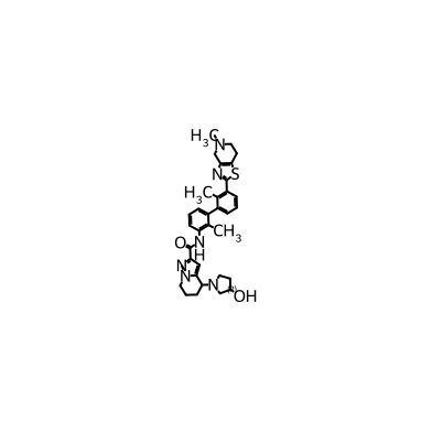 Cc1c(NC(=O)c2cc3n(n2)CCCC3N2CC[C@@H](O)C2)cccc1-c1cccc(-c2nc3c(s2)CCN(C)C3)c1C